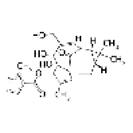 CC1=C[C@@]23CC[C@@H]4[C@H]([C@H](C=C(CO)[C@@H](O)[C@]2(O)[C@H]1OC(=O)c1cccn1C)C3=O)C4(C)C